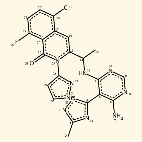 Cc1noc(-c2c(N)ncnc2NC(C)c2cc3c(Cl)ccc(F)c3c(=O)n2-c2cc[nH]n2)n1